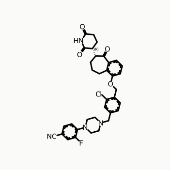 N#Cc1ccc(N2CCN(Cc3ccc(COc4cccc5c4CCCC([C@H]4CCC(=O)NC4=O)C5=O)c(Cl)c3)CC2)c(F)c1